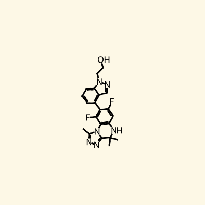 Cc1nnc2n1-c1c(cc(F)c(-c3cccc4c3cnn4CCO)c1F)NC2(C)C